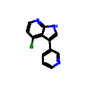 Clc1ccnc2[nH]cc(-c3cccnc3)c12